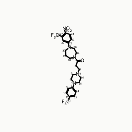 O=C(CCN1CCN(c2ccc(C(F)(F)F)cc2)CC1)N1CCCN(c2ccc([N+](=O)[O-])c(C(F)(F)F)c2)CC1